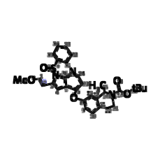 CO/C=C/c1cc2c(Oc3ccc4c(c3)C(C)N(C(=O)OC(C)(C)C)CC4)ccnc2n1[S+]([O-])c1ccccc1